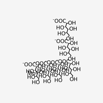 O=C([O-])[C@H](O)[C@@H](O)[C@H](O)[C@H](O)CO.O=C([O-])[C@H](O)[C@@H](O)[C@H](O)[C@H](O)CO.O=C([O-])[C@H](O)[C@@H](O)[C@H](O)[C@H](O)CO.O=C([O-])[C@H](O)[C@@H](O)[C@H](O)[C@H](O)CO.O=C([O-])[C@H](O)[C@@H](O)[C@H](O)[C@H](O)CO.O=C([O-])[C@H](O)[C@@H](O)[C@H](O)[C@H](O)CO.[Mo+6]